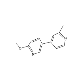 COc1ccc(-c2ccnc(C)c2)cn1